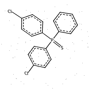 S=P(c1ccccc1)(c1ccc(Cl)cc1)c1ccc(Cl)cc1